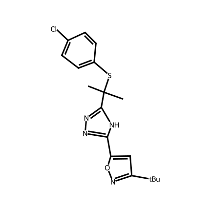 CC(C)(C)c1cc(-c2nnc(C(C)(C)Sc3ccc(Cl)cc3)[nH]2)on1